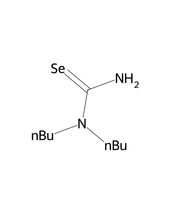 CCCCN(CCCC)C(N)=[Se]